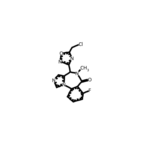 CN1C(=O)c2c(F)cccc2-n2cncc2C1c1noc(CCl)n1